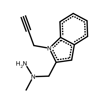 C#CCn1c(CN(C)N)cc2ccccc21